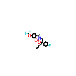 C=CCCC1(c2ccc(F)cc2)CCN([C@@H](C)c2ccc(OC(F)F)cc2)C(=O)O1